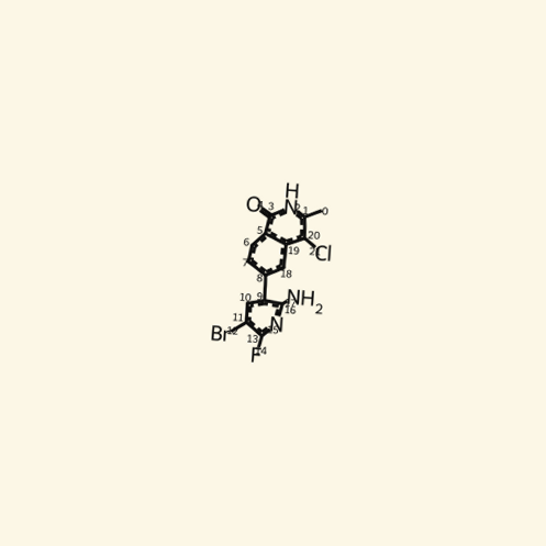 Cc1[nH]c(=O)c2ccc(-c3cc(Br)c(F)nc3N)cc2c1Cl